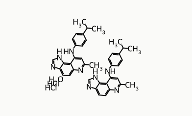 Cc1cc(Nc2ccc(C(C)C)cc2)c2c(ccc3nc[nH]c32)n1.Cc1cc(Nc2ccc(C(C)C)cc2)c2c(ccc3nc[nH]c32)n1.Cl.Cl.O